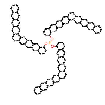 c1ccc2cc3cc4cc5c(ccc6cc7cc8cc9cccc(OP(Oc%10cccc%11cc%12cc%13cc%14ccc%15cc%16cc%17cc%18ccccc%18cc%17cc%16cc%15c%14cc%13cc%12cc%10%11)Oc%10cccc%11cc%12cc%13cc%14ccc%15cc%16cc%17cc%18ccccc%18cc%17cc%16cc%15c%14cc%13cc%12cc%10%11)c9cc8cc7cc65)cc4cc3cc2c1